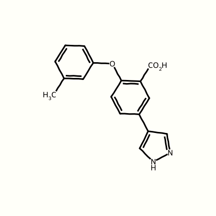 Cc1cccc(Oc2ccc(-c3cn[nH]c3)cc2C(=O)O)c1